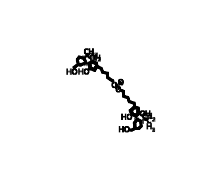 C=C(C)[C@@H]1CCC(CO)=C[C@H]1c1c(O)cc(CCCCCO[N+](=O)OCCCCCc2cc(O)c([C@@H]3C=C(CO)CC[C@H]3C(=C)C)c(O)c2)cc1O